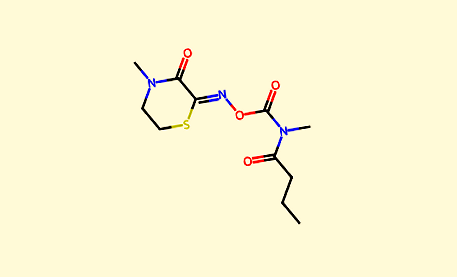 CCCC(=O)N(C)C(=O)ON=C1SCCN(C)C1=O